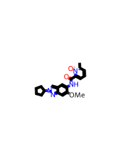 COc1cc2nn(C3CCCC3)cc2cc1NC(=O)c1cccc(C)[n+]1[O-]